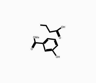 CCCC(=O)O.COC(=O)c1cccc(O)c1